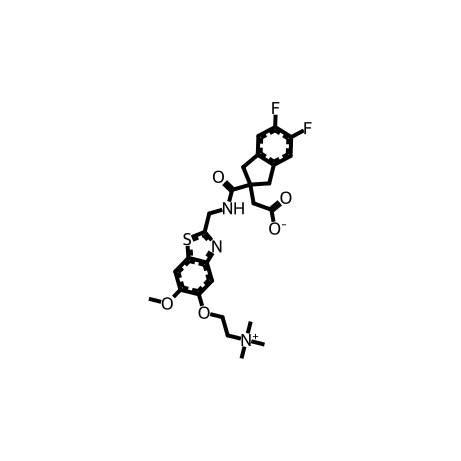 COc1cc2sc(CNC(=O)C3(CC(=O)[O-])Cc4cc(F)c(F)cc4C3)nc2cc1OCC[N+](C)(C)C